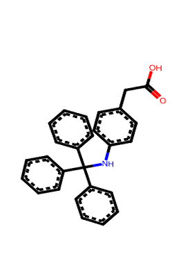 O=C(O)Cc1ccc(NC(c2ccccc2)(c2ccccc2)c2ccccc2)cc1